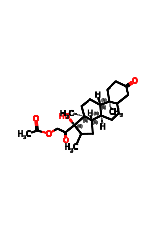 CC(=O)OCC(=O)[C@@]1(O)C(C)C[C@H]2[C@@H]3CCC4CC(=O)CC[C@]4(C)[C@H]3CC[C@@]21C